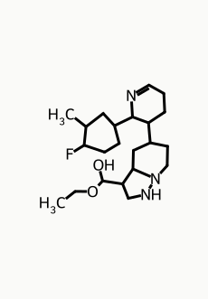 CCOC(O)C1CNN2CCC(C3CCC=NC3C3CCC(F)C(C)C3)CC12